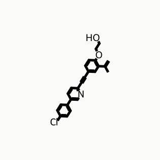 C=C(C)c1cc(C#Cc2ccc(-c3ccc(Cl)cc3)cn2)ccc1OCCO